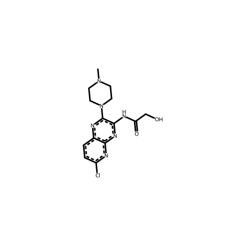 CN1CCN(c2nc3ccc(Cl)nc3nc2NC(=O)CO)CC1